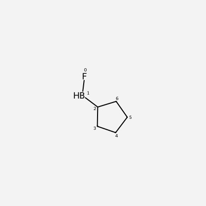 FBC1CCCC1